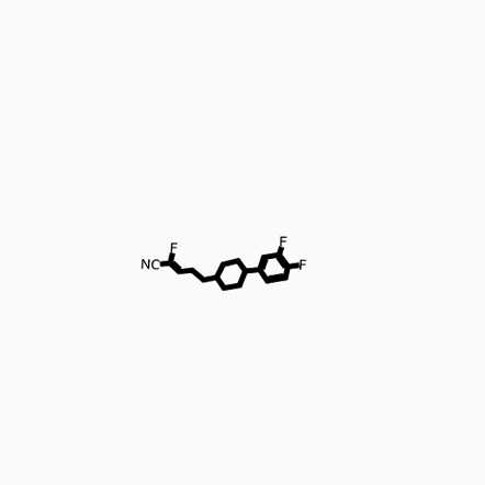 N#CC(F)=CCCC1CCC(c2ccc(F)c(F)c2)CC1